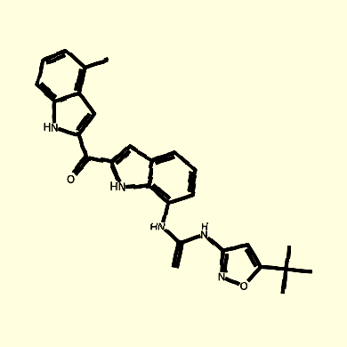 C=C(Nc1cc(C(C)(C)C)on1)Nc1cccc2cc(C(=O)c3cc4c(C)cccc4[nH]3)[nH]c12